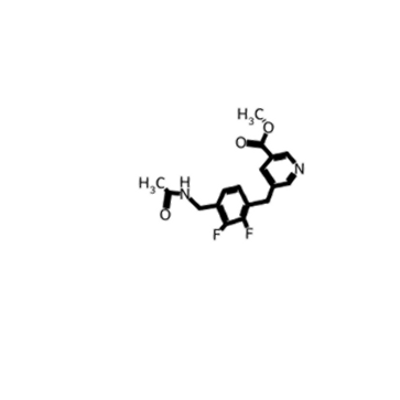 COC(=O)c1cncc(Cc2ccc(CNC(C)=O)c(F)c2F)c1